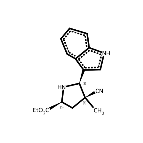 CCOC(=O)[C@@H]1C[C@](C)(C#N)[C@H](c2c[nH]c3ccccc23)N1